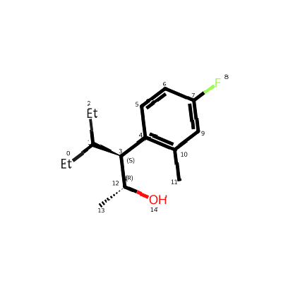 CCC(CC)[C@@H](c1ccc(F)cc1C)[C@@H](C)O